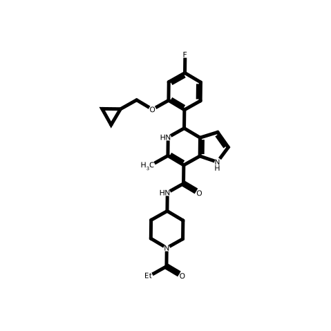 CCC(=O)N1CCC(NC(=O)C2=C(C)NC(c3ccc(F)cc3OCC3CC3)c3cc[nH]c32)CC1